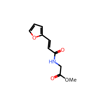 COC(=O)CNC(=O)/C=C/c1ccco1